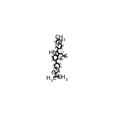 Cc1cn2cc(-c3[nH]c4ccc(C5CCN(CC(=O)N(C)C)CC5)cc4c3CC(F)F)ccc2n1